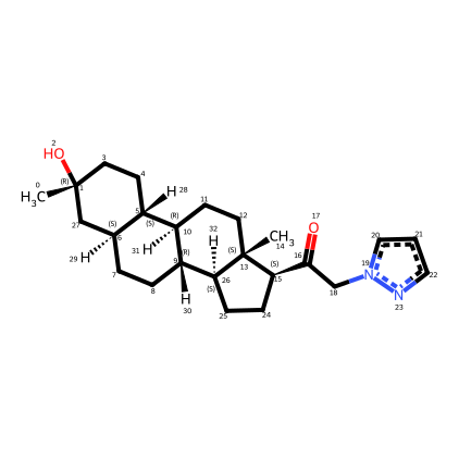 C[C@@]1(O)CC[C@H]2[C@@H](CC[C@@H]3[C@@H]2CC[C@]2(C)[C@@H](C(=O)Cn4cccn4)CC[C@@H]32)C1